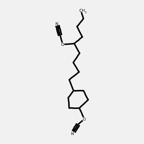 CCCCC(CCCCC1CCC(OC#N)CC1)OC#N